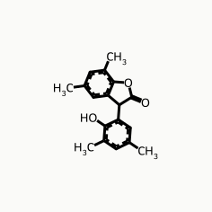 Cc1cc(C)c(O)c(C2C(=O)Oc3c(C)cc(C)cc32)c1